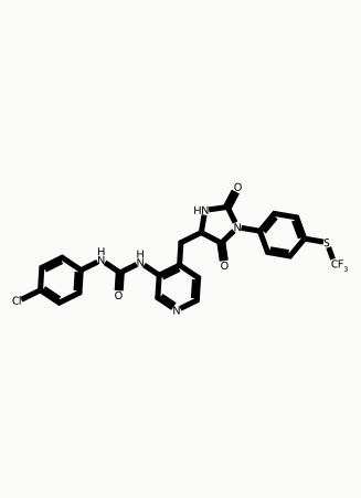 O=C(Nc1ccc(Cl)cc1)Nc1cnccc1CC1NC(=O)N(c2ccc(SC(F)(F)F)cc2)C1=O